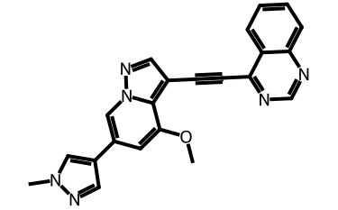 COc1cc(-c2cnn(C)c2)cn2ncc(C#Cc3ncnc4ccccc34)c12